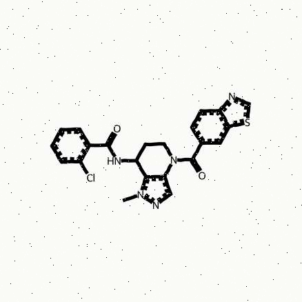 Cn1ncc2c1C(NC(=O)c1ccccc1Cl)CCN2C(=O)c1ccc2ncsc2c1